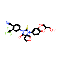 N#Cc1ccc(N2C(=O)C3(CCOC3)N(c3ccc4c(c3)OCC(CO)O4)C2=S)cc1C(F)(F)F